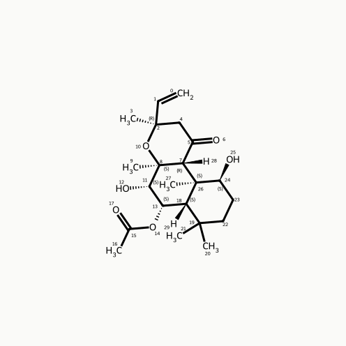 C=C[C@@]1(C)CC(=O)[C@H]2[C@](C)(O1)[C@@H](O)[C@@H](OC(C)=O)[C@H]1C(C)(C)CC[C@H](O)[C@@]12C